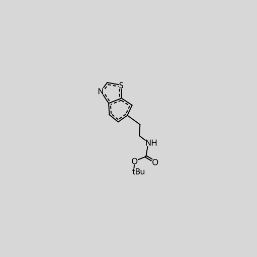 CC(C)(C)OC(=O)NCCc1ccc2ncsc2c1